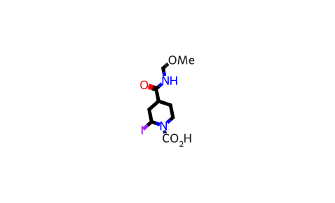 COCNC(=O)C1CCN(C(=O)O)C(I)C1